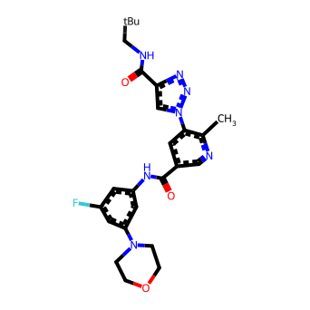 Cc1ncc(C(=O)Nc2cc(F)cc(N3CCOCC3)c2)cc1-n1cc(C(=O)NCC(C)(C)C)nn1